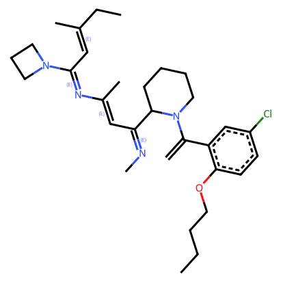 C=C(c1cc(Cl)ccc1OCCCC)N1CCCCC1C(/C=C(C)/N=C(\C=C(/C)CC)N1CCC1)=N/C